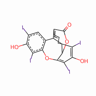 O=C1OC2C3=C(I)C(O)=C(I)C24CC=CC1=C4c1cc(I)c(O)c(I)c1O3